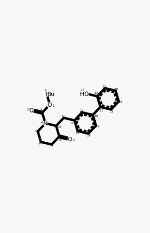 CC(C)(C)OC(=O)N1CCCC(=O)C1Cc1cccc(-c2ccccc2O)c1